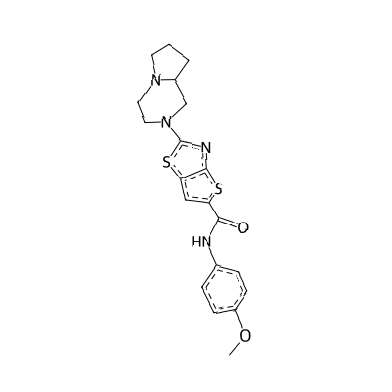 COc1ccc(NC(=O)c2cc3sc(N4CCN5CCCC5C4)nc3s2)cc1